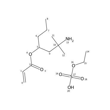 C=CC(=O)OC(CCC)CC(C)(C)N.CCOS(=O)(=O)O